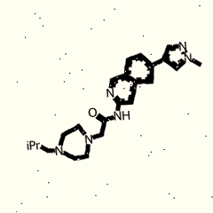 CC(C)CN1CCN(CC(=O)Nc2cc3cc(-c4cnn(C)c4)ccc3cn2)CC1